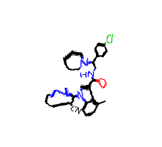 Cc1cccc2c1c(C(=O)NCC(c1ccc(Cl)cc1)N1CCCCC1)cn2-c1ncccc1C#N